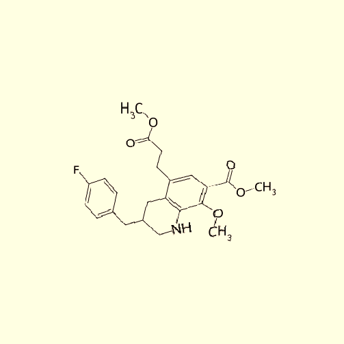 COC(=O)CCc1cc(C(=O)OC)c(OC)c2c1CC(Cc1ccc(F)cc1)CN2